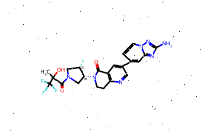 CC(O)(C(=O)N1C[C@@H](N2CCc3ncc(-c4ccn5nc(N)nc5c4)cc3C2=O)[C@@H](F)C1)C(F)(F)F